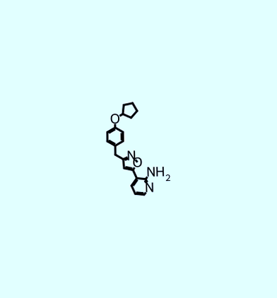 Nc1ncccc1-c1cc(Cc2ccc(OC3CCCC3)cc2)no1